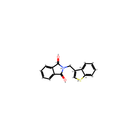 O=C1c2ccccc2C(=O)N1Cc1csc2ccccc12